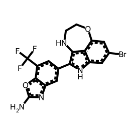 Nc1nc2cc(-c3[nH]c4cc(Br)cc5c4c3NCCO5)cc(C(F)(F)F)c2o1